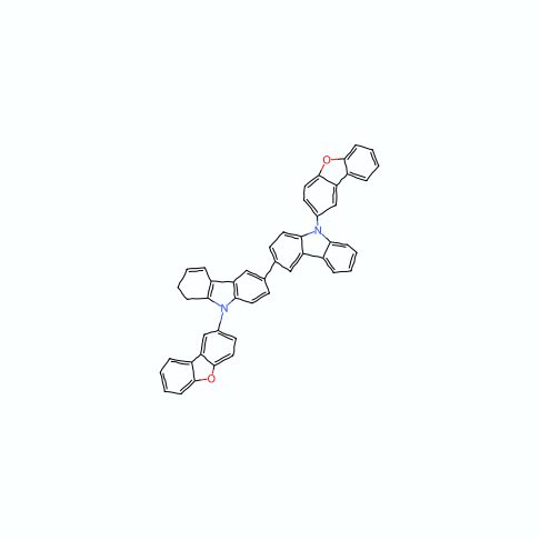 C1=Cc2c(n(-c3ccc4oc5ccccc5c4c3)c3ccc(-c4ccc5c(c4)c4ccccc4n5-c4ccc5oc6ccccc6c5c4)cc23)CC1